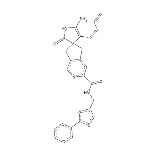 C=C/C=C\C1=C(N)NC(=O)C12Cc1cnc(C(=O)NCc3csc(-c4ccccc4)n3)cc1C2